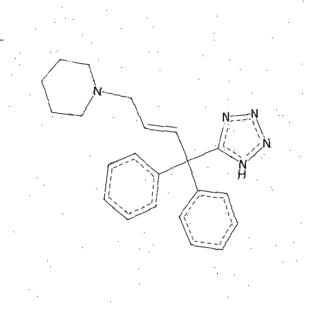 C(=C\C(c1ccccc1)(c1ccccc1)c1nnn[nH]1)/CN1CCCCC1